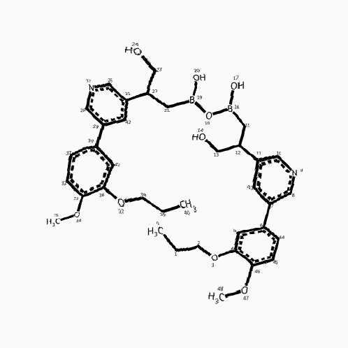 CCCOc1cc(-c2cncc(C(CO)CB(O)OB(O)CC(CO)c3cncc(-c4ccc(OC)c(OCCC)c4)c3)c2)ccc1OC